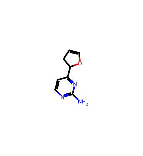 Nc1nccc(C2CC=CO2)n1